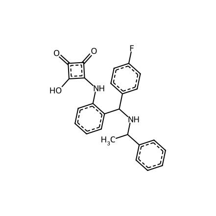 CC(NC(c1ccc(F)cc1)c1ccccc1Nc1c(O)c(=O)c1=O)c1ccccc1